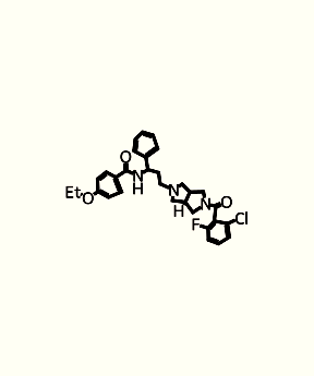 CCOc1ccc(C(=O)NC(CCN2CC3CN(C(=O)c4c(F)cccc4Cl)C[C@@H]3C2)c2ccccc2)cc1